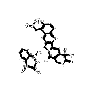 CC[C@@]1(O)C(=O)OCc2c1cc1n(c2=O)Cc2cc3c(CN(C)C)c(O)ccc3nc2-1.Nc1n[n+]([O-])c2ccccc2[n+]1[O-]